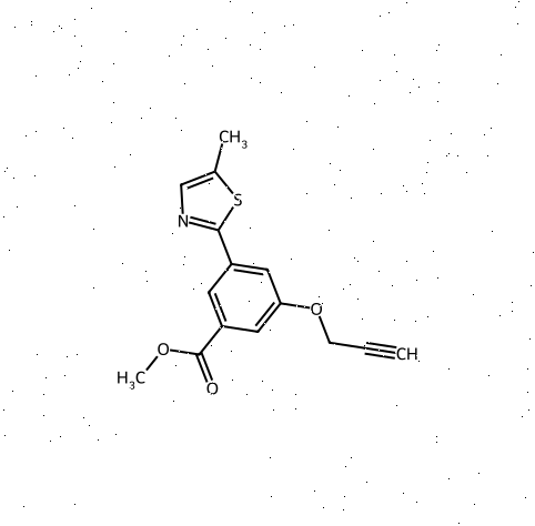 C#CCOc1cc(C(=O)OC)cc(-c2ncc(C)s2)c1